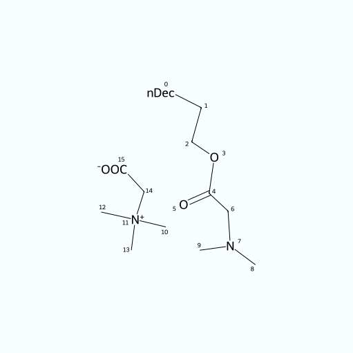 CCCCCCCCCCCCOC(=O)CN(C)C.C[N+](C)(C)CC(=O)[O-]